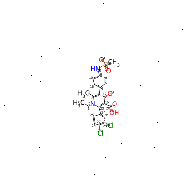 CCn1c(C)c(-c2ccc(NS(C)(=O)=O)cc2)c(=O)c(C(=O)O)c1-c1ccc(Cl)c(Cl)c1